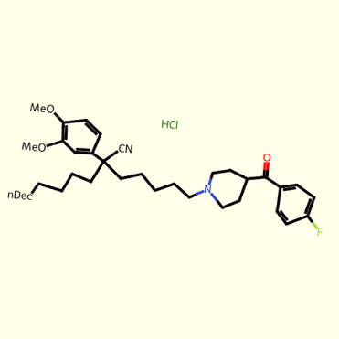 CCCCCCCCCCCCCCC(C#N)(CCCCCN1CCC(C(=O)c2ccc(F)cc2)CC1)c1ccc(OC)c(OC)c1.Cl